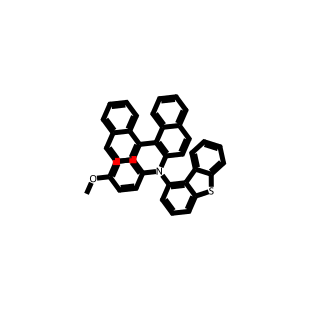 COc1ccc(N(c2ccc3ccccc3c2-c2cccc3ccccc23)c2cccc3sc4ccccc4c23)cc1